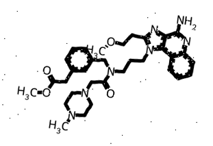 COCCc1nc2c(N)nc3ccccc3c2n1CCCN(Cc1cccc(CC(=O)OC)c1)C(=O)CN1CCN(C)CC1